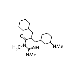 CNC(=N)N(C)C(=O)[C@@H](CC1CCCCC1)CC1CCCC(NC)C1